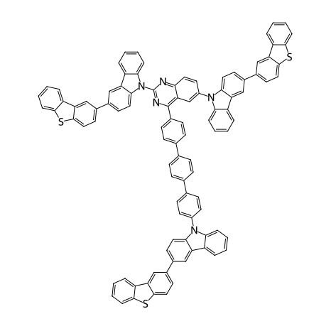 c1ccc2c(c1)sc1ccc(-c3ccc4c(c3)c3ccccc3n4-c3ccc(-c4ccc(-c5ccc(-c6nc(-n7c8ccccc8c8cc(-c9ccc%10sc%11ccccc%11c%10c9)ccc87)nc7ccc(-n8c9ccccc9c9cc(-c%10ccc%11sc%12ccccc%12c%11c%10)ccc98)cc67)cc5)cc4)cc3)cc12